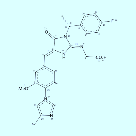 COc1cc(/C=C2\N/C(=N\CC(=O)O)N([C@H](C)c3ccc(F)cc3)C2=O)ccc1-n1cnc(C)c1